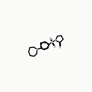 O=S(=O)(c1ccc(N2CCCCCC2)cc1)N1CCCC1=S